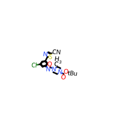 CC1CN(C(=O)OC(C)(C)C)CCN1c1nc2cc(Cl)cc(-c3ncc(C#N)s3)c2o1